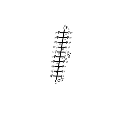 O=C([O-])C(F)(F)C(F)(F)C(F)(F)C(F)(F)C(F)(F)C(F)(F)C(F)(F)C(F)(F)C(F)(F)C(F)(F)C(F)(F)F.[K+]